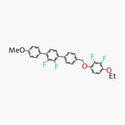 CCOc1ccc(OCc2ccc(-c3ccc(-c4ccc(OC)cc4)c(F)c3F)cc2)c(F)c1F